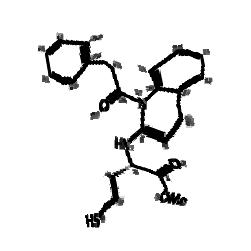 COC(=O)[C@H](CCS)NC1=CCc2ccccc2N1C(=O)Cc1ccccc1